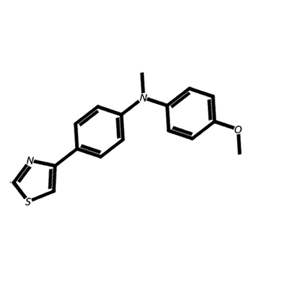 COc1ccc(N(C)c2ccc(-c3cs[c]n3)cc2)cc1